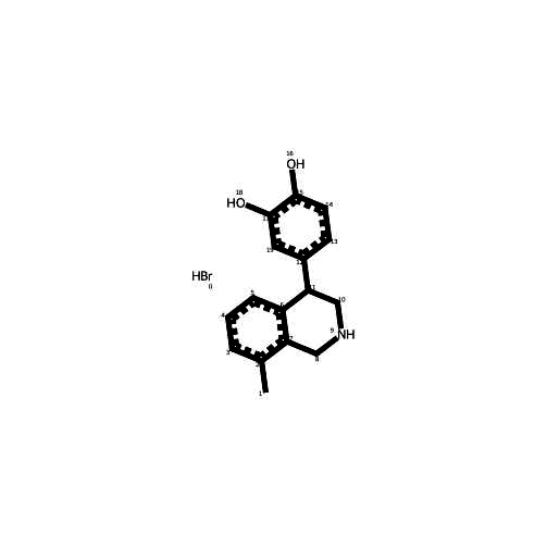 Br.Cc1cccc2c1CNCC2c1ccc(O)c(O)c1